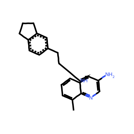 CC1=CC=CC23NC(CCc4ccc5c(c4)CCC5)=CC=C2C(N)=CN=C13